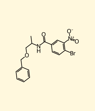 CC(COCc1ccccc1)NC(=O)c1ccc(Br)c([N+](=O)[O-])c1